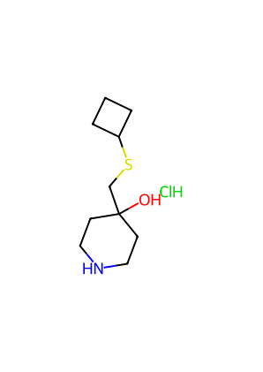 Cl.OC1(CSC2CCC2)CCNCC1